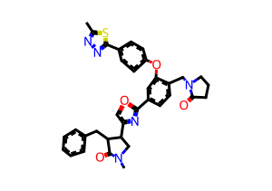 Cc1nnc(-c2ccc(Oc3cc(-c4nc(C5CN(C)C(=O)C5Cc5ccccc5)co4)ccc3CN3CCCC3=O)cc2)s1